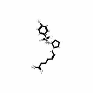 O=C(O)CCC/C=C\C[C@H]1CCC[C@@H]1NS(=O)(=O)c1ccc(Br)cc1